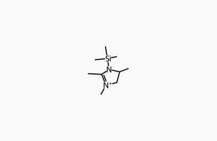 CC1=[N+](C)CC(C)N1[Si](C)(C)C